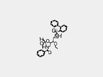 CCOC(CN[S+]([O-])c1ccccc1-c1ccccc1)C(CNC(=O)c1ccccc1)OC(C)(C)O